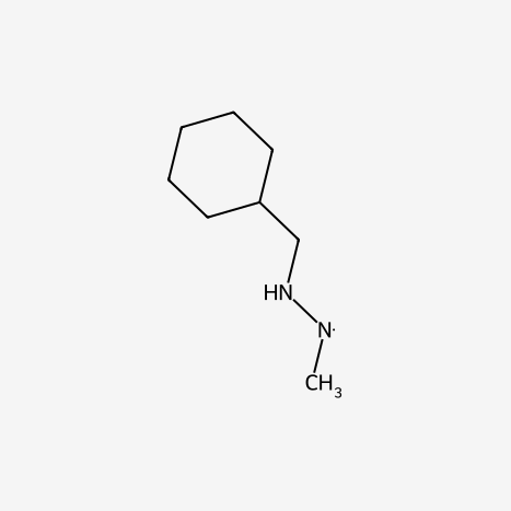 C[N]NCC1CCCCC1